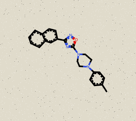 Cc1ccc(N2CCN(c3nc(-c4ccc5ccccc5c4)no3)CC2)cc1